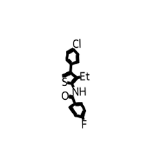 [CH2]Cc1c(-c2ccc(Cl)cc2)csc1NC(=O)c1ccc(F)cc1